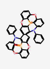 O=P12c3c4cccc3Oc3cc5c6c7c(cc5c(c31)N(c1ccccc1)c1cccc(c12)O4)Oc1cccc2c1P7(=O)c1c(cccc1N6c1ccccc1)O2